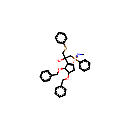 CN=S(=O)(CC(O)(CSc1ccccc1)C1=CCC(OCc2ccccc2)C1OCc1ccccc1)c1ccccc1